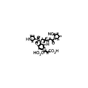 CC(C)(CN(c1ccccc1)S(=O)(=O)[C@H]1CCNC1)NCC(=O)N1CCCC1C#N.O=C(O)/C=C/C(=O)O